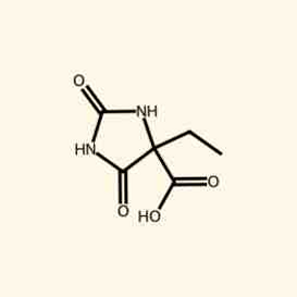 CCC1(C(=O)O)NC(=O)NC1=O